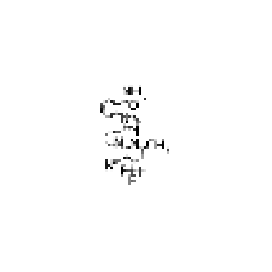 Cc1cc(C(F)(F)F)c(C#N)c(N2CCC[C@H]2c2nccn2-c2ccccc2C(N)=O)n1